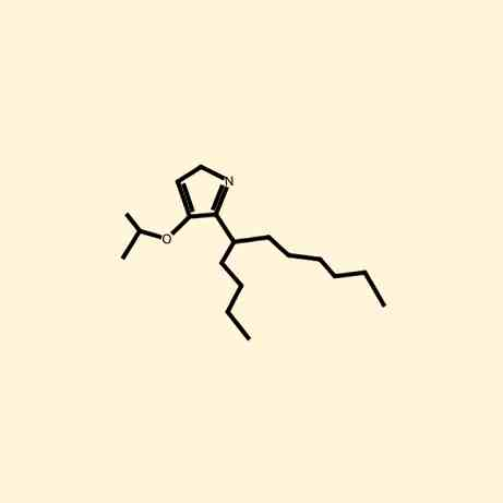 CCCCCCC(CCCC)C1=NCC=C1OC(C)C